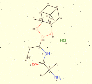 CC(C)CC(NC(=O)C(C)(C)N)B1OC2CC3CC(C3(C)C)C2(C)O1.Cl